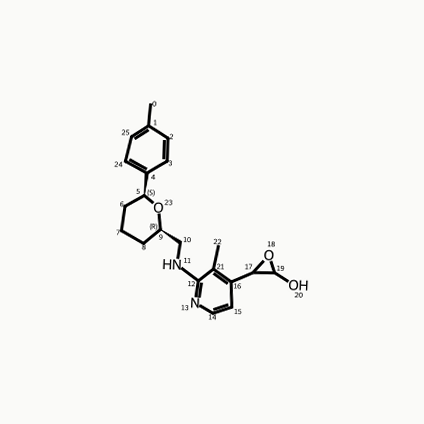 Cc1ccc([C@@H]2CCC[C@H](CNc3nccc(C4OC4O)c3C)O2)cc1